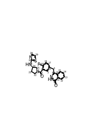 O=C(c1cc(Cc2n[nH]c(=O)c3ccccc23)ccc1F)N1CC[C@@H](Nc2nccs2)C1